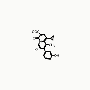 Cc1c(-c2cccc(O)c2)ccn2c(=O)c(C(=O)[O-])cc(C3CC3)c12.[K+]